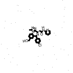 Cc1nnc2n1-c1ccc(CO)cc1C(c1ccc(Cl)cc1)=N[C@H]2CC(=O)Nc1ccccn1